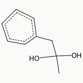 CC(O)(O)Cc1ccccc1